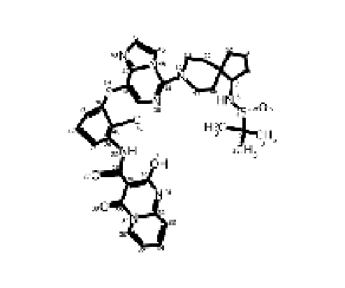 CC(C)(C)[S@@+]([O-])N[C@@H]1CCCC12CCN(c1ncc(Sc3cccc(NC(=O)c4c(O)nc5ccccn5c4=O)c3Cl)c3nccn13)CC2